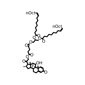 CCCCCCCC/C=C\CCCCCCCC(=O)OCC(COC1OC1CCC(=O)OCC(=O)C1[C@H](C)CC2C3CCC4=CC(=O)C=CC4(C)[C@@]3(F)C(O)CC21C)OC(=O)CCCCCCC/C=C\CCCCCCCC